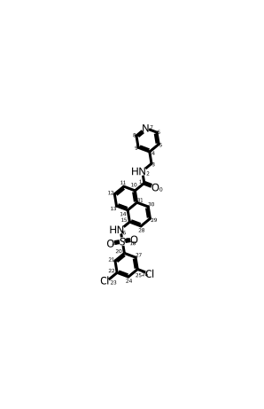 O=C(NCc1ccncc1)c1cccc2c(NS(=O)(=O)c3cc(Cl)cc(Cl)c3)cccc12